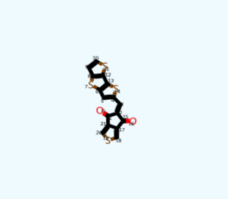 O=C1C(=Cc2cc3sc4ccsc4c3s2)C(=O)c2cscc21